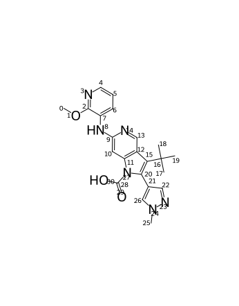 COc1ncccc1Nc1cc2c(cn1)c(C(C)(C)C)c(-c1cnn(C)c1)n2C(=O)O